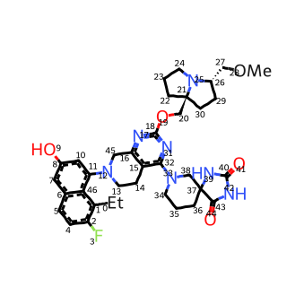 CCc1c(F)ccc2cc(O)cc(N3CCc4c(nc(OC[C@@]56CCCN5[C@H](COC)CC6)nc4N4CCCC5(C4)NC(=O)NC5=O)C3)c12